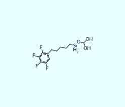 OC(O)O[SiH2]CCCCCc1cc(F)c(F)c(F)c1F